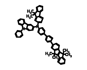 CC1(C)C2=C(c3ccccc31)C(C)(C)c1cc(-c3ccc(-c4ccc(N(c5ccc6c(c5)C(C)(C)c5ccccc5-6)c5ccc6c(c5)c5ccccc5n6-c5ccccc5)cc4)cc3)ccc12